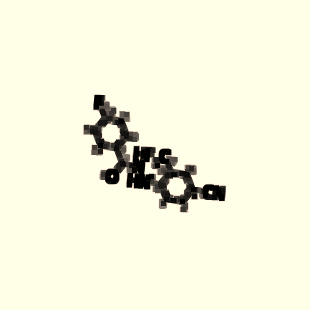 N#Cc1ccc(NNC(=O)c2ccc(F)cc2)c(C(F)(F)F)c1